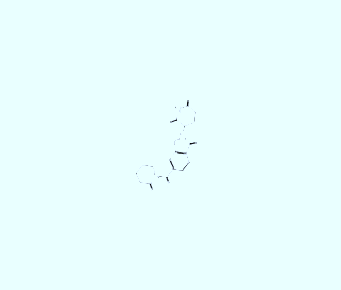 O=C1CCC(N2Cc3cc(C(=O)N4CCCCC4=O)ccc3C2=O)C(=O)N1